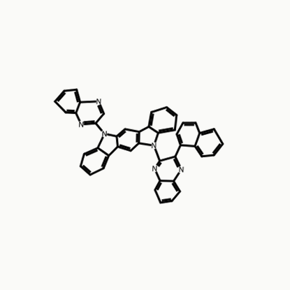 c1ccc2c(-c3nc4ccccc4nc3-n3c4ccccc4c4cc5c(cc43)c3ccccc3n5-c3cnc4ccccc4n3)cccc2c1